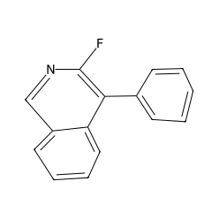 Fc1ncc2ccccc2c1-c1ccccc1